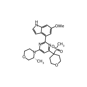 COc1cc(-c2nc(N3CCOC[C@H]3C)cc(C3(S(C)(=O)=O)CCOCC3)n2)c2cc[nH]c2c1